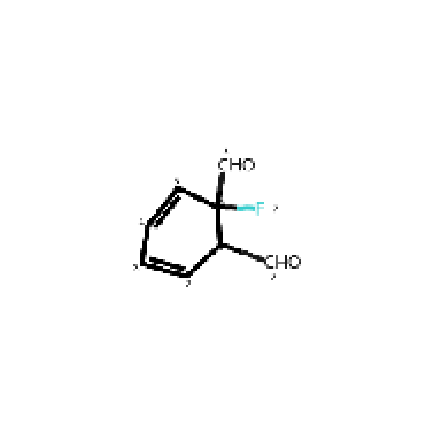 O=CC1C=CC=CC1(F)C=O